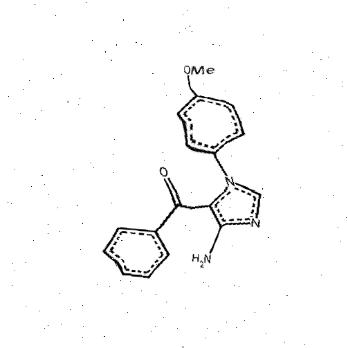 COc1ccc(-n2cnc(N)c2C(=O)c2ccccc2)cc1